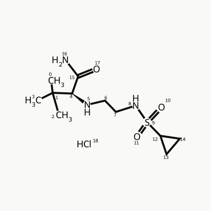 CC(C)(C)[C@H](NCCNS(=O)(=O)C1CC1)C(N)=O.Cl